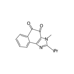 CC(C)c1nc2c(n1C)C(=O)C(=O)c1ccccc1-2